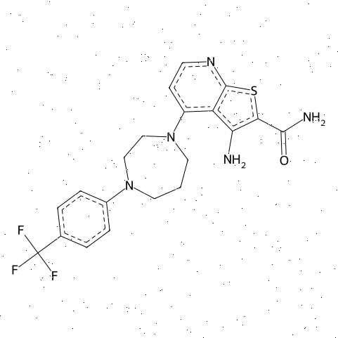 NC(=O)c1sc2nccc(N3CCCN(c4ccc(C(F)(F)F)cc4)CC3)c2c1N